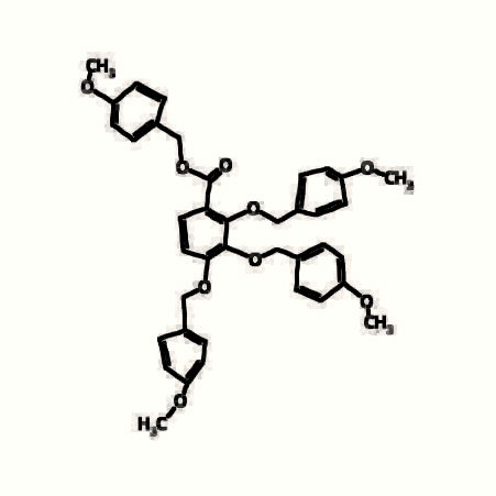 COc1ccc(COC(=O)c2ccc(OCc3ccc(OC)cc3)c(OCc3ccc(OC)cc3)c2OCc2ccc(OC)cc2)cc1